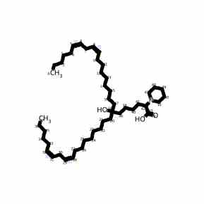 CCCCC/C=C\C/C=C\CCCCCCCCC(O)(CCCCCCCC/C=C\C/C=C\CCCCC)CCCCC(C(=O)O)N1CCCCC1